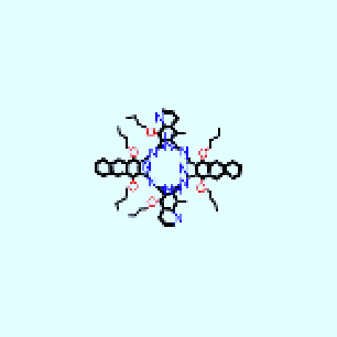 CCCCOc1c2c(c(OCCCC)c3cc4ccccc4cc13)-c1nc-2nc2[nH]c(nc3nc(nc4[nH]c(n1)c1c(C)c5ncccc5c(OCCCC)c41)-c1c-3c(OCCCC)c3cc4ccccc4cc3c1OCCCC)c1c(OCCCC)c3ncccc3c(C)c21